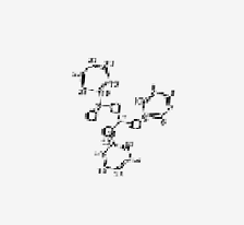 O=C(OC(Oc1ccccc1)Oc1ccccc1)c1ccccc1